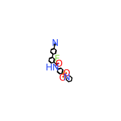 N#Cc1ccc(-c2cccc(C(=O)Nc3ccc(S(=O)(=O)N4CCCCC4)cc3)c2F)cc1